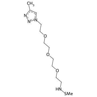 CSNCCOCCOCCOCCn1cc(C)nn1